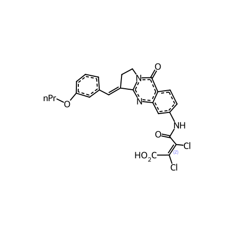 CCCOc1cccc(C=C2CCn3c2nc2cc(NC(=O)/C(Cl)=C(/Cl)C(=O)O)ccc2c3=O)c1